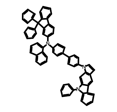 c1ccc(-n2c3ccccc3c3cc4ccn(-c5ccc(-c6ccc(N(c7ccc8c(c7)C(c7ccccc7)(c7ccccc7)c7ccccc7-8)c7cccc8ccccc78)cc6)cc5)c4cc32)cc1